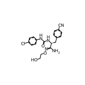 N#Cc1ccc(C[C@H](NC(=O)Nc2ccc(Cl)cc2)/C(N)=N/OCCO)cc1